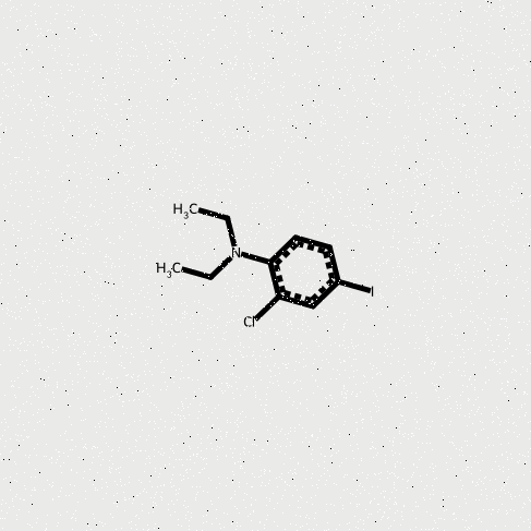 CCN(CC)c1ccc(I)cc1Cl